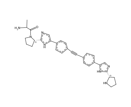 CC(N)C(=O)N1CCC[C@H]1c1ncc(-c2ccc(C#Cc3ccc(-c4cnc([C@@H]5CCCN5)[nH]4)cc3)cc2)[nH]1